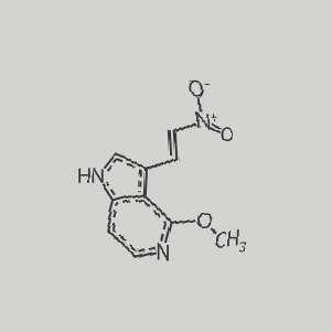 COc1nccc2[nH]cc(C=C[N+](=O)[O-])c12